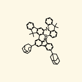 CC1(C)c2ccccc2N2c3cc4c(c5c3B(c3cccc1c32)n1c2ccc(C36CC7CC(CC(C7)C3)C6)cc2c2cc(C36CCC7CC(CC7C3)C6)cc-5c21)C(C)(C)c1ccccc1-4